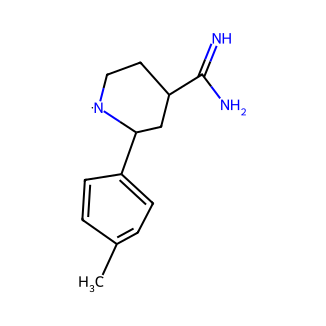 Cc1ccc(C2CC(C(=N)N)CC[N]2)cc1